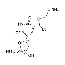 CCC(OCCN)c1cn([C@H]2C[C@H](O)[C@@H](CO)O2)c(=O)[nH]c1=O